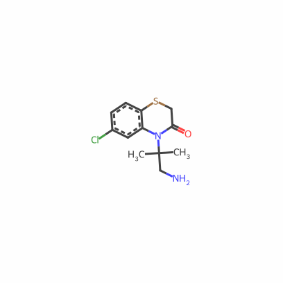 CC(C)(CN)N1C(=O)CSc2ccc(Cl)cc21